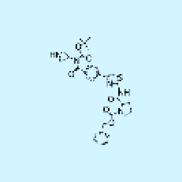 CC(C)(C)OC(=O)N(C(=O)c1ccc(-c2csc(NC(=O)C3CCCN3C(=O)OCc3ccccc3)n2)cc1)C1CNC1